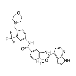 Cc1ccc(C(=O)Nc2ccc(CN3CCOCC3)c(C(F)(F)F)c2)cc1NC(=O)c1ccnc2[nH]ccc12